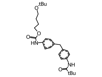 CC(C)(C)OCCCCOC(=O)Nc1ccc(Cc2ccc(NC(=O)C(C)(C)C)cc2)cc1